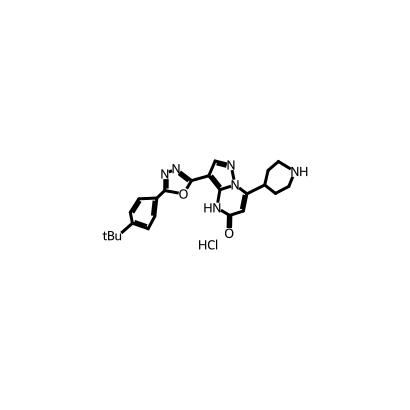 CC(C)(C)c1ccc(-c2nnc(-c3cnn4c(C5CCNCC5)cc(=O)[nH]c34)o2)cc1.Cl